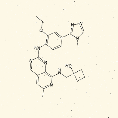 CCOc1cc(-c2nncn2C)ccc1Nc1ncc2cc(C)nc(NCC3(O)CCC3)c2n1